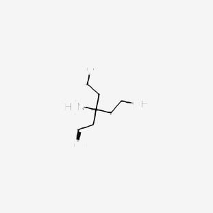 C=CCC(N)(CCO)CCO